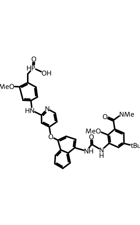 CNC(=O)c1cc(C(C)(C)C)cc(NC(=O)Nc2ccc(Oc3ccnc(Nc4ccc(C[PH](=O)O)c(OC)c4)c3)c3ccccc23)c1OC